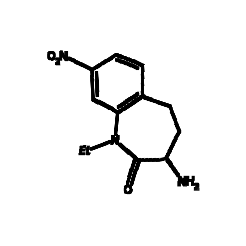 CCN1C(=O)C(N)CCc2ccc([N+](=O)[O-])cc21